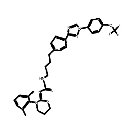 Cc1cccc(C)c1N1CCCS/C1=N\C(=O)NCCCCc1ccc(-c2ncn(-c3ccc(OC(F)(F)F)cc3)n2)cc1